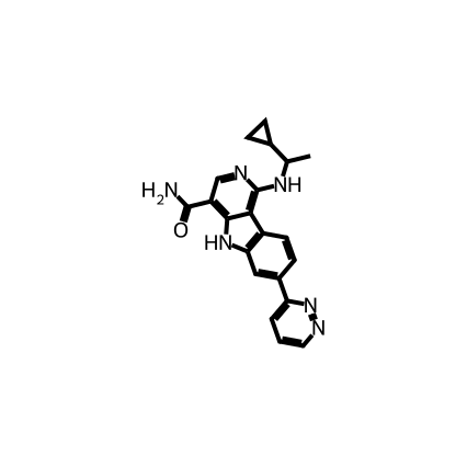 CC(Nc1ncc(C(N)=O)c2[nH]c3cc(-c4cccnn4)ccc3c12)C1CC1